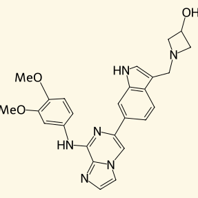 COc1ccc(Nc2nc(-c3ccc4c(CN5CC(O)C5)c[nH]c4c3)cn3ccnc23)cc1OC